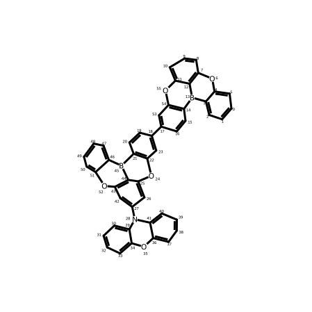 c1ccc2c(c1)Oc1cccc3c1B2c1ccc(-c2ccc4c(c2)Oc2cc(N5c6ccccc6Oc6ccccc65)cc5c2B4c2ccccc2O5)cc1O3